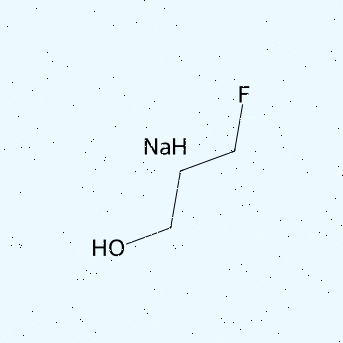 OCCCF.[NaH]